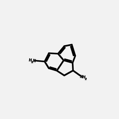 Nc1cc2c3c(cccc3c1)C(N)C2